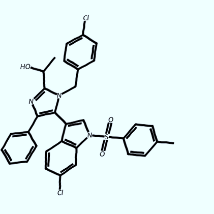 Cc1ccc(S(=O)(=O)n2cc(-c3c(-c4ccccc4)nc(C(C)O)n3Cc3ccc(Cl)cc3)c3ccc(Cl)cc32)cc1